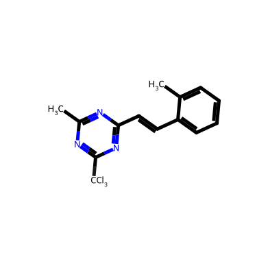 Cc1nc(/C=C/c2ccccc2C)nc(C(Cl)(Cl)Cl)n1